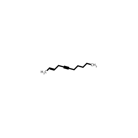 CC=CCC#CCCCCC